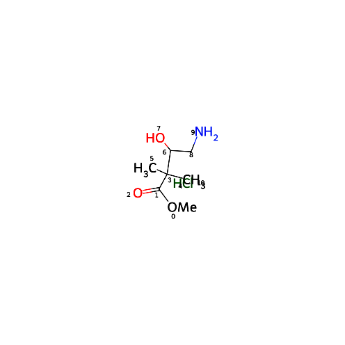 COC(=O)C(C)(C)C(O)CN.Cl